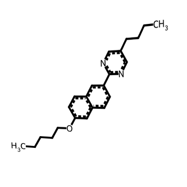 CCCCCOc1ccc2cc(-c3ncc(CCCC)cn3)ccc2c1